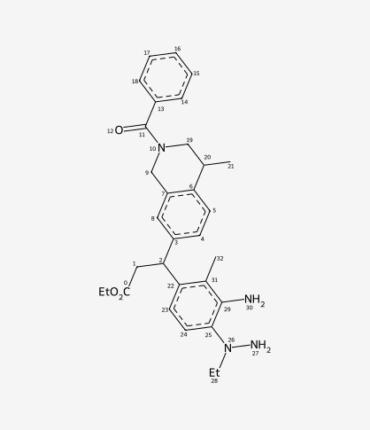 CCOC(=O)CC(c1ccc2c(c1)CN(C(=O)c1ccccc1)CC2C)c1ccc(N(N)CC)c(N)c1C